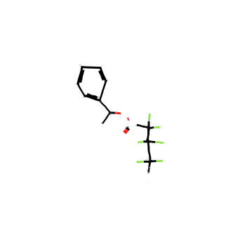 CC([O][Sn](=[O])[C](F)(F)C(F)(F)C(F)(F)C(F)(F)F)c1ccccc1